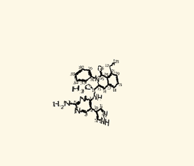 C[C@H](Nc1nc(N)ncc1-c1cn[nH]c1)c1cc2cccc(CI)c2c(=O)n1-c1ccccc1